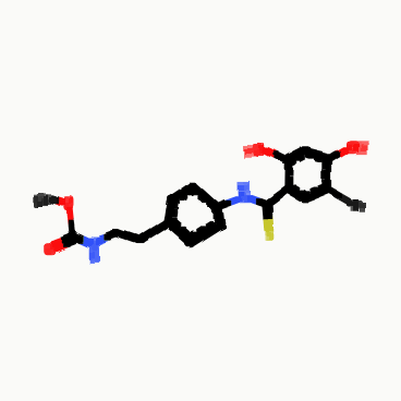 CC(C)c1cc(C(=S)Nc2ccc(CCNC(=O)OC(C)(C)C)cc2)c(O)cc1O